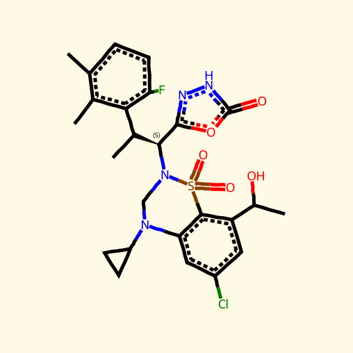 Cc1ccc(F)c(C(C)[C@@H](c2n[nH]c(=O)o2)N2CN(C3CC3)c3cc(Cl)cc(C(C)O)c3S2(=O)=O)c1C